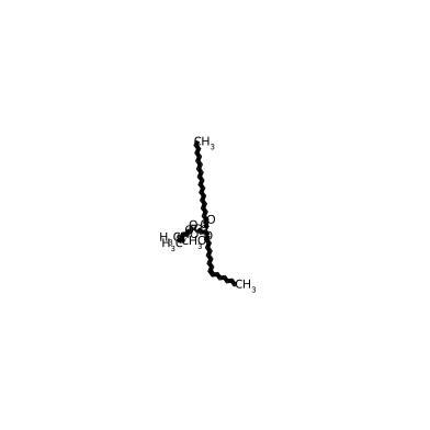 CCCCCCC/C=C\CCCCCCCC(=O)O[C@H](COC(=O)CCCCCCCCCCCCCCCCCCCC)COP(=O)([O-])OCC[N+](C)(C)C